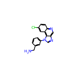 NCc1cccc(-n2cnc3cnc4ccc(Cl)cc4c32)c1